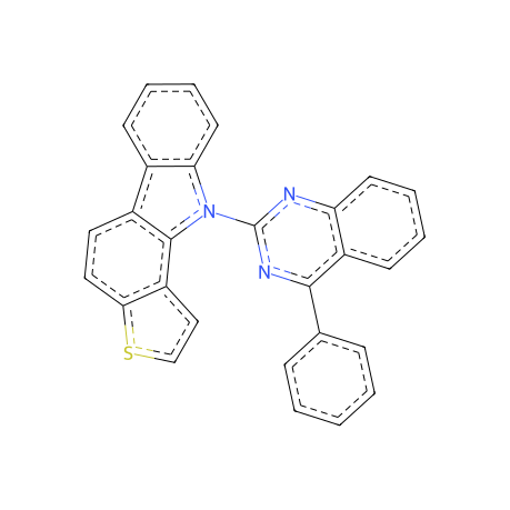 c1ccc(-c2nc(-n3c4ccccc4c4ccc5sccc5c43)nc3ccccc23)cc1